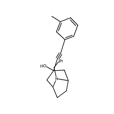 Cc1cccc(C#CC2(O)CC3CCC(C2)N3CC(C)C)c1